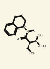 CN(C(=O)[C@H](CO)N(C(=O)O)C(C)(C)C)[C@@H]1CCCc2ccccc21